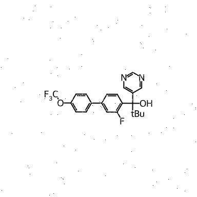 CC(C)(C)C(O)(c1cncnc1)c1ccc(-c2ccc(OC(F)(F)F)cc2)cc1F